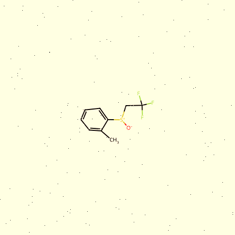 Cc1cc[c]cc1[S+]([O-])CC(F)(F)F